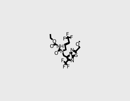 CCOC(=O)NC(=O)N(C/C=C/C(F)(F)F)Cc1c(C(F)(F)F)nc2sc(COC)nn12